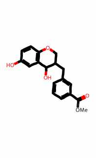 COC(=O)c1cccc(CC2COc3ccc(O)cc3C2O)c1